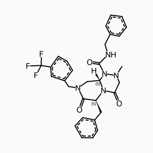 CN1CC(=O)N2[C@@H](Cc3ccccc3)C(=O)N(Cc3cccc(C(F)(F)F)c3)C[C@@H]2N1C(=O)NCc1ccccc1